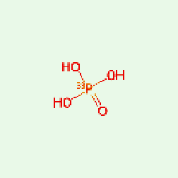 O=[33P](O)(O)O